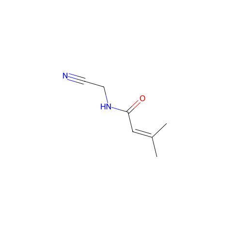 CC(C)=CC(=O)NCC#N